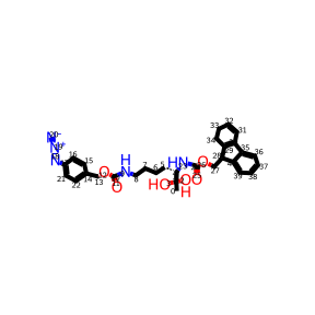 CC(O)(O)[C@H](CCCCNC(=O)OCc1ccc(N=[N+]=[N-])cc1)NC(=O)OCC1C2=C(C=CCC2)c2ccccc21